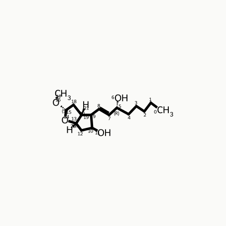 CCCCC[C@@H](O)C=CC1C(O)C[C@@H]2O[C@H](OC)C[C@H]12